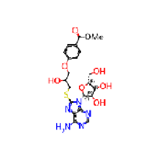 COC(=O)c1ccc(OCC(O)CSc2nc3c(N)ncnc3n2[C@@H]2O[C@H](CO)[C@@H](O)[C@H]2O)cc1